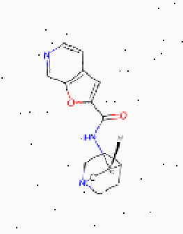 O=C(N[C@H]1CN2CCC1CC2)c1cc2ccncc2o1